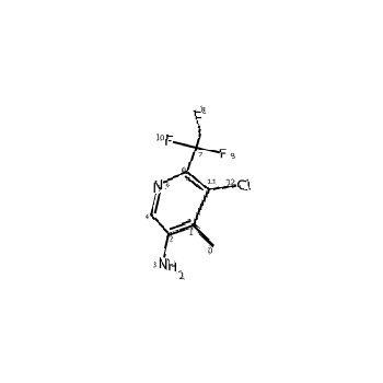 Cc1c(N)cnc(C(F)(F)F)c1Cl